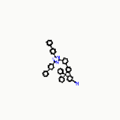 N#Cc1ccc2c(c1)-c1ccc(-c3cccc(-c4nc(-c5ccc(-c6ccccc6)cc5)nc(-c5ccc(-c6ccccc6)cc5)n4)c3)cc1C2(c1ccccc1)c1ccccc1